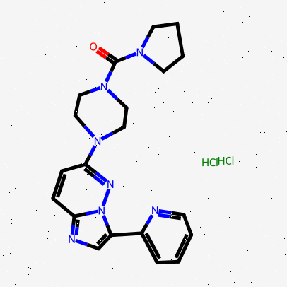 Cl.Cl.O=C(N1CCCC1)N1CCN(c2ccc3ncc(-c4ccccn4)n3n2)CC1